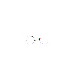 CC(C)(C)NC(=O)C1CCCN(C(=O)O)C1